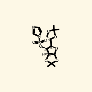 CC1(C)OC[C@@H]([C@H]2OC3OC(C)(C)O[C@@H]3[C@H]2OS(=O)(=O)n2ccnc2)O1